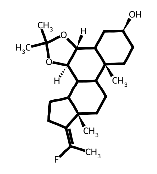 C/C(F)=C1/CCC2C3C(CC[C@]12C)[C@@]1(C)CC[C@H](O)CC1[C@H]1OC(C)(C)O[C@H]31